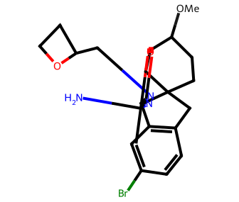 COC1CCC2(CC1)Cc1ccc(Br)cc1C21N=C(N)N(CC2CCO2)C1=O